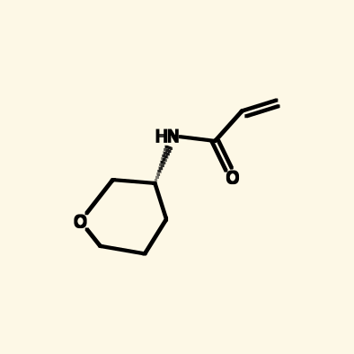 C=CC(=O)N[C@@H]1CCCOC1